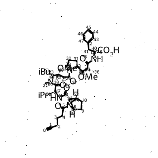 C#CCCCC(=O)N1[C@@H]2CC[C@@H](C2)[C@H]1C(=O)N[C@H](C(=O)N(C)[C@@H]([C@@H](C)CC)[C@@H](CC(=O)N1CCC[C@H]1[C@H](OC)[C@@H](C)C(=O)N[C@@H](Cc1ccccc1)C(=O)O)OC)C(C)C